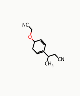 CC(CC#N)C1=CCC(OCC#N)C=C1